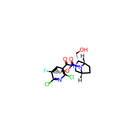 CC(C)(C)OC(=O)N1[C@@H]2CC[C@H]1[C@@H](CO)N(C(=O)c1cc(F)c(Cl)nc1Cl)C2